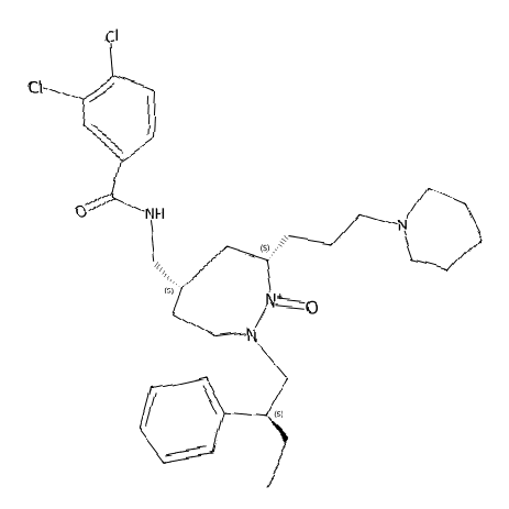 CC[C@H](CN1CC[C@H](CNC(=O)c2ccc(Cl)c(Cl)c2)C[C@H](CCCN2CCCCC2)[N+]1=O)c1ccccc1